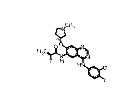 C=C(F)C(=O)Nc1cc2c(Nc3ccc(F)c(Cl)c3)ncnc2cc1O[C@H]1CCN(C)C1